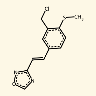 CSc1ccc(C=Cc2ncon2)cc1CCl